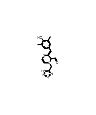 Cc1cc(C=C2SC=CN(Cc3nnn[nH]3)C2C=O)cc(C)c1O